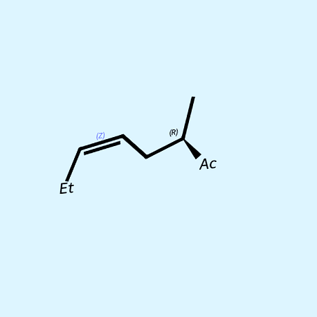 CC/C=C\C[C@@H](C)C(C)=O